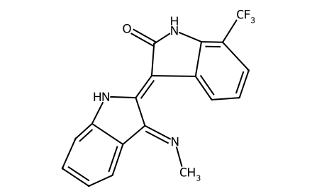 C/N=C1/C(=C2/C(=O)Nc3c2cccc3C(F)(F)F)Nc2ccccc21